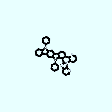 c1ccc(-n2c3ccccc3c3cc4c(cc32)c2ccc3c5ncccc5n5c6ncccc6nc5c3c2n4-c2ccccc2)cc1